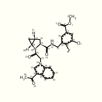 COC(=O)c1cc(Cl)c(F)c(CNC(=O)[C@@H]2C[C@H]3C[C@H]3N2C(=O)Cn2cc(C(C)=O)c3ccccc32)c1